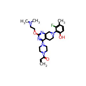 C=CC(=O)N1CCN(c2nc(OCCN(C)C)nc3c2CCN(c2c(O)ccc(C)c2F)C3)CC1